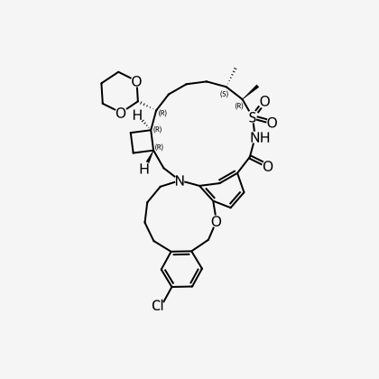 C[C@@H]1[C@@H](C)CCC[C@@H](C2OCCCO2)[C@@H]2CC[C@H]2CN2CCCCc3cc(Cl)ccc3COc3ccc(cc32)C(=O)NS1(=O)=O